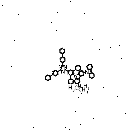 CC(C)(C)c1ccc2c(c1)c1cc(-n3c4ccccc4c4ccccc43)ccc1n2-c1c(-c2ccccc2)cc(-c2nc(-c3ccc(-c4ccccc4)cc3)nc(-c3ccc(-c4ccccc4)cc3)n2)cc1-c1ccccc1